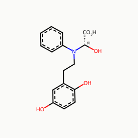 O=C(O)[C@H](O)N(CCc1cc(O)ccc1O)c1ccccc1